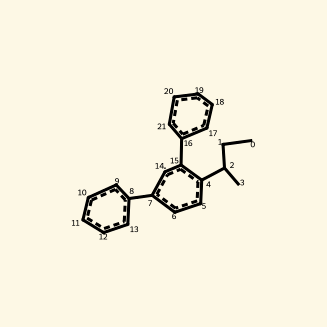 CCC(C)c1ccc(-c2ccccc2)[c]c1-c1ccccc1